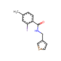 Cc1ccc(C(=O)NCc2ccsc2)c(I)c1